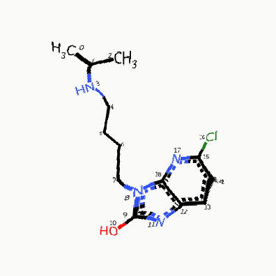 CC(C)NCCCCn1c(O)nc2ccc(Cl)nc21